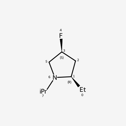 CC[C@@H]1C[C@H](F)CN1C(C)C